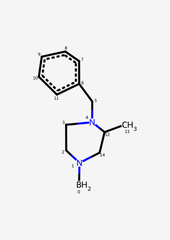 BN1CCN(Cc2ccccc2)C(C)C1